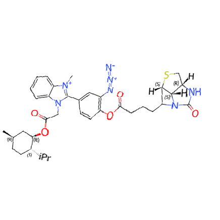 CC(C)[C@@H]1CC[C@@H](C)C[C@H]1OC(=O)Cn1c(-c2ccc(OC(=O)CCCC3[C@@H]4SC[C@@H]5NC(=O)N3[C@@H]54)c(N=[N+]=[N-])c2)[n+](C)c2ccccc21